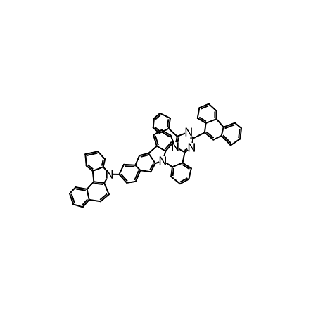 c1ccc(-c2nc(-c3ccccc3-n3c4ccccc4c4cc5cc(-n6c7ccccc7c7c8ccccc8ccc76)ccc5cc43)nc(-c3cc4ccccc4c4ccccc34)n2)cc1